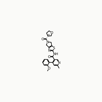 COc1ccccc1-c1cc(C)ncc1C(=O)Nc1nc2c(s1)CN(C(=O)[C@@H]1CCOC1)C2